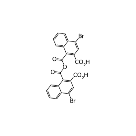 O=C(O)c1cc(Br)c2ccccc2c1C(=O)OC(=O)c1c(C(=O)O)cc(Br)c2ccccc12